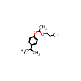 C=C(C)c1ccc(OC(C)OCCC)cc1